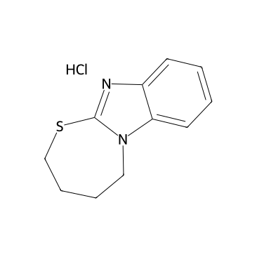 Cl.c1ccc2c(c1)nc1n2CCCCS1